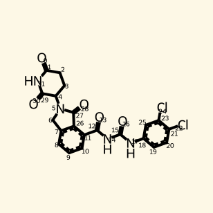 O=C1CCC(N2Cc3cccc(C(=O)NC(=O)Nc4ccc(Cl)c(Cl)c4)c3C2=O)C(=O)N1